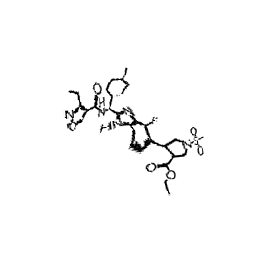 CCOC(=O)C1CN(S(C)(=O)=O)CC1c1ccc2[nH]c([C@@H](NC(=O)c3conc3CC)[C@H]3CC[C@H](C)CC3)nc2c1F